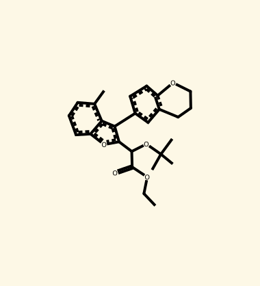 CCOC(=O)C(OC(C)(C)C)c1oc2cccc(C)c2c1-c1ccc2c(c1)CCCO2